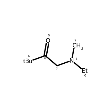 CCN(C)CC(=O)C(C)(C)C